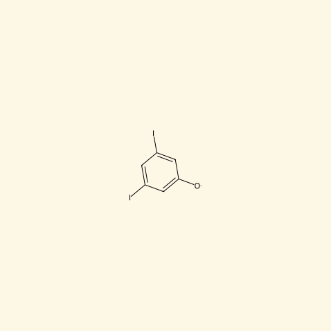 [O]c1cc(I)cc(I)c1